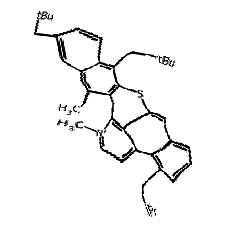 Cc1c2c(c(CC(C)(C)C)c3ccc(CC(C)(C)C)cc13)Sc1cc3cccc(CC(C)C)c3c3cc[n+](C)c-2c13